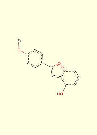 CCOc1ccc(-c2cc3c(O)cccc3o2)cc1